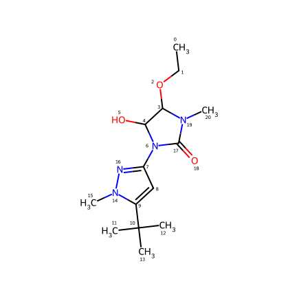 CCOC1C(O)N(c2cc(C(C)(C)C)n(C)n2)C(=O)N1C